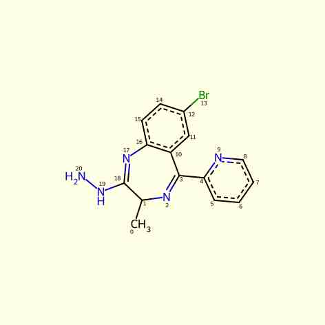 CC1N=C(c2ccccn2)c2cc(Br)ccc2N=C1NN